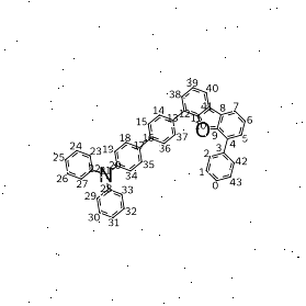 c1ccc(-c2cccc3c2oc2c(-c4ccc(-c5ccc(N(c6ccccc6)c6ccccc6)cc5)cc4)cccc23)cc1